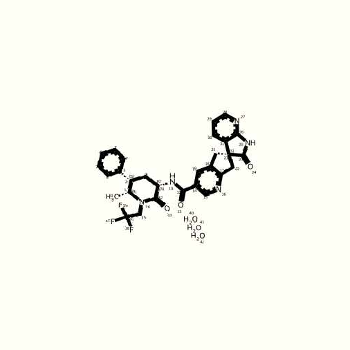 C[C@@H]1[C@H](c2ccccc2)C[C@H](NC(=O)c2cnc3c(c2)C[C@@]2(C3)C(=O)Nc3ncccc32)C(=O)N1CC(F)(F)F.O.O.O